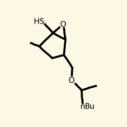 CCCCC(C)OCC1CC(C)C2(S)OC12